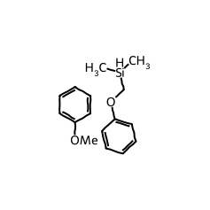 COc1ccccc1.C[SiH](C)COc1ccccc1